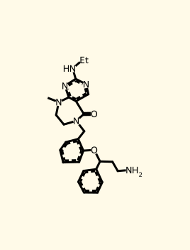 CCNc1ncc2c(n1)N(C)CCN(Cc1ccccc1OC(CCN)c1ccccc1)C2=O